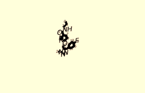 CCCNC(=O)c1ccc(OCc2c(-c3ccc(F)cc3)nnn2C)nn1